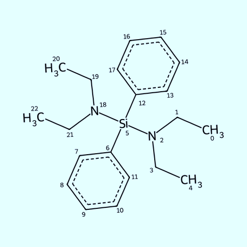 CCN(CC)[Si](c1ccccc1)(c1ccccc1)N(CC)CC